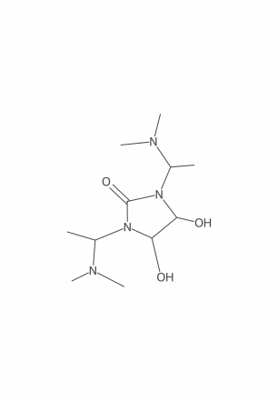 CC(N(C)C)N1C(=O)N(C(C)N(C)C)C(O)C1O